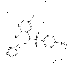 O=[N+]([O-])c1ccc(S(=O)(=O)N(CCc2ccoc2)c2cc(F)cnc2Br)cc1